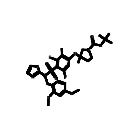 COc1ccc(CN(c2nccs2)S(=O)(=O)c2c(F)cc(OC3(C)CCN(C(=O)OC(C)(C)C)C3)c(C)c2F)c(OC)c1